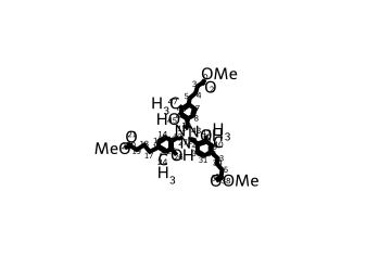 COC(=O)CCCc1ccc(-c2nc(-c3ccc(CCCC(=O)OC)c(C)c3O)nc(-c3ccc(CCCC(=O)OC)c(C)c3O)n2)c(O)c1C